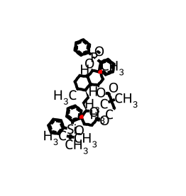 CCC(C)(C)C(=O)O[C@H]1C[C@@H](C)[C@@H](OP(=O)(c2ccccc2)c2ccccc2)[C@@H]2CC[C@H](C)[C@H](CC[C@@H]3C[C@@H](O[Si](c4ccccc4)(c4ccccc4)C(C)(C)C)CC(=O)O3)[C@H]21